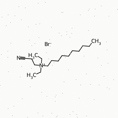 CCCCCCCCCC[N+](CC)(CC)CCC#N.[Br-]